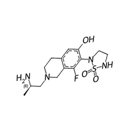 C[C@@H](N)CN1CCc2cc(O)c(N3CCNS3(=O)=O)c(F)c2C1